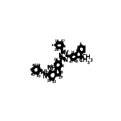 CC1(C)c2ccccc2-c2cc(-c3nc(-c4ccccc4)nc(-c4ccc5c6c(ccc5c4)C=C/C(=N/Nc4ccccc4)C6=N)n3)ccc21